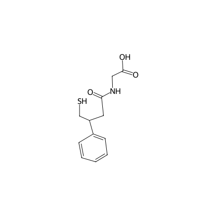 O=C(O)CNC(=O)CC(CS)c1ccccc1